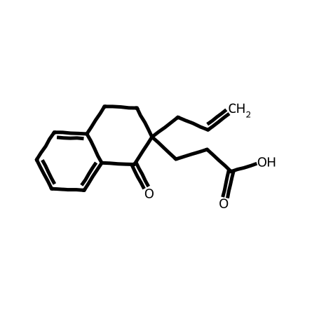 C=CCC1(CCC(=O)O)CCc2ccccc2C1=O